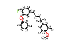 CCOc1c(C)cc(C(C)(C)CCCc2ccc(F)c(Oc3ccccc3)c2)cc1C